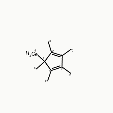 CC1=C(C)[C](C)([GeH3])C(C)=C1C